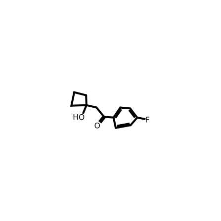 O=C(CC1(O)CCC1)c1ccc(F)cc1